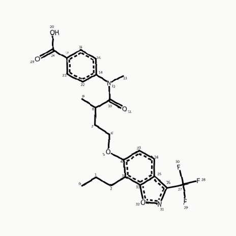 CCCc1c(OCCC(C)C(=O)N(C)c2ccc(C(=O)O)cc2)ccc2c(C(F)(F)F)noc12